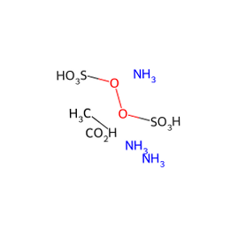 CC(=O)O.N.N.N.O=S(=O)(O)OOS(=O)(=O)O